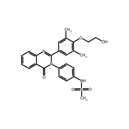 Cc1cc(-c2nc3ccccc3c(=O)n2-c2ccc(NS(C)(=O)=O)cc2)cc(C)c1OCCO